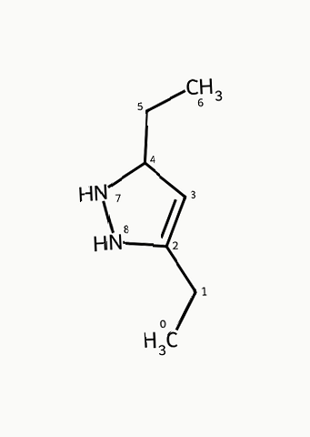 CCC1=CC(CC)NN1